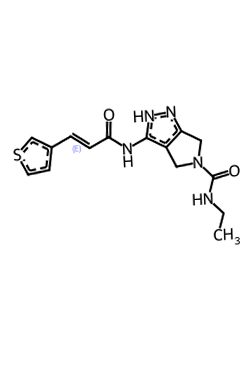 CCNC(=O)N1Cc2n[nH]c(NC(=O)/C=C/c3ccsc3)c2C1